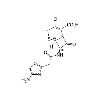 Nc1nc(CC(=O)N[C@@H]2C(=O)N3C(C(=O)O)=C(Cl)CS[C@H]23)cs1